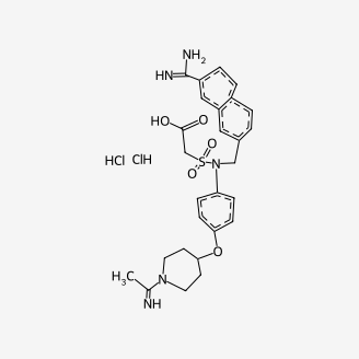 CC(=N)N1CCC(Oc2ccc(N(Cc3ccc4ccc(C(=N)N)cc4c3)S(=O)(=O)CC(=O)O)cc2)CC1.Cl.Cl